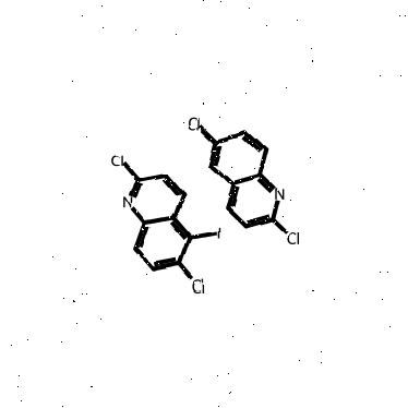 Clc1ccc2c(I)c(Cl)ccc2n1.Clc1ccc2nc(Cl)ccc2c1